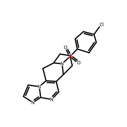 O=S(=O)(c1ccc(Cl)cc1)N1C2CCCC1c1cnc3nccn3c1C2